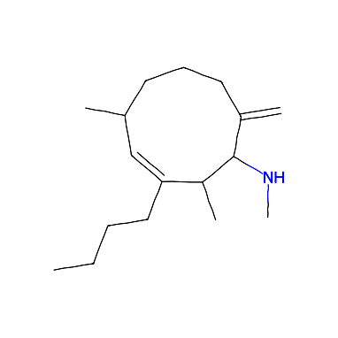 C=C1CCCC(C)/C=C(/CCCC)C(C)C1NC